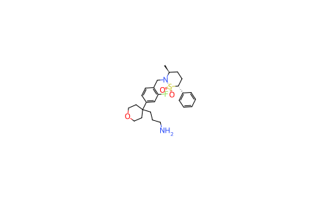 C[C@H]1CC[C@H](c2ccccc2)S(=O)(=O)N1Cc1ccc(C2(CCCN)CCOCC2)cc1F